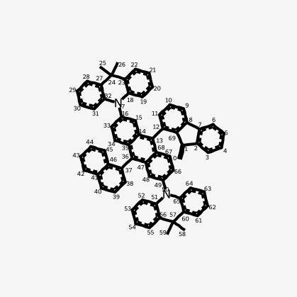 C=C1c2ccccc2-c2cccc(-c3c4cc(N5c6ccccc6C(C)(C)c6ccccc65)ccc4c(-c4cccc5ccccc45)c4cc(N5c6ccccc6C(C)(C)c6ccccc65)ccc34)c21